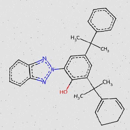 CC(C)(C1=CCCC=C1)c1cc(C(C)(C)c2ccccc2)cc(-n2nc3ccccc3n2)c1O